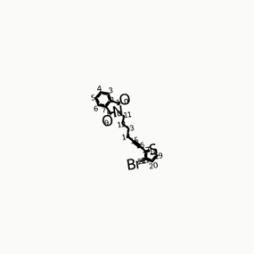 O=C1c2ccccc2C(=O)N1CCCCC#Cc1sccc1Br